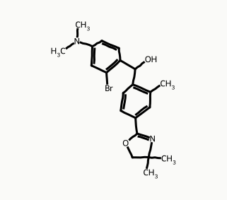 Cc1cc(C2=NC(C)(C)CO2)ccc1C(O)c1ccc(N(C)C)cc1Br